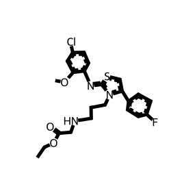 CCOC(=O)CNCCCn1c(-c2ccc(F)cc2)csc1=Nc1ccc(Cl)cc1OC